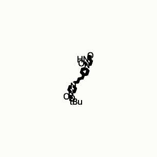 CC(C)(C)OC(=O)N1CCN(CCCCc2ccc(N3CCC(=O)NC3=O)cc2)CC1